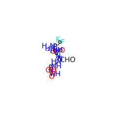 N=C(NC(=O)c1ccc(N2CCN(C(C=O)CNCCCCNc3cccc4c3C(=O)N(C3CCC(=O)NC3=O)C4=O)CC2)cc1NC1CCOCC1)c1cc(Cc2cc(F)cc(F)c2)ccc1N